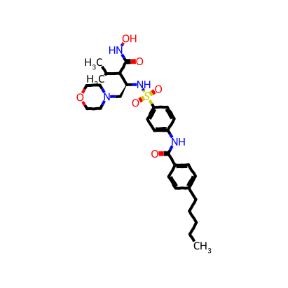 CCCCCc1ccc(C(=O)Nc2ccc(S(=O)(=O)N[C@@H](CN3CCOCC3)C(C(=O)NO)C(C)C)cc2)cc1